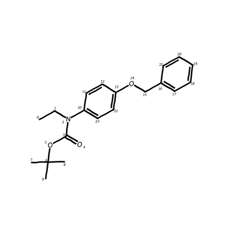 CCN(C(=O)OC(C)(C)C)c1ccc(OCc2ccccc2)cc1